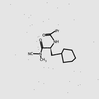 CC(C)C(=O)N[C@@H](CC1CCCCC1)C(=O)N(C)C#N